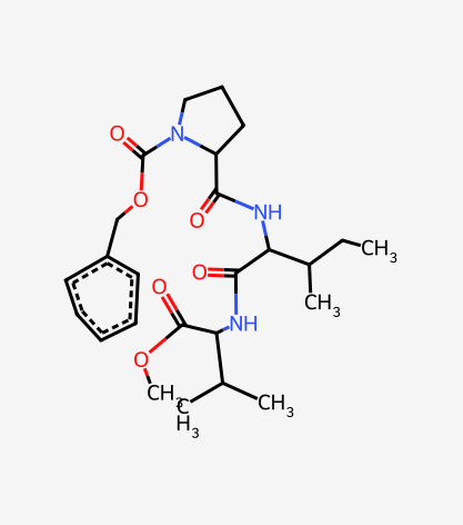 CCC(C)C(NC(=O)C1CCCN1C(=O)OCc1ccccc1)C(=O)NC(C(=O)OC)C(C)C